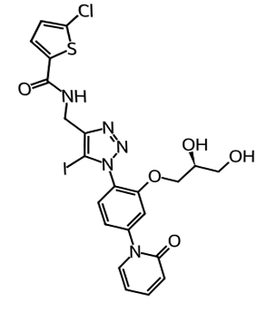 O=C(NCc1nnn(-c2ccc(-n3ccccc3=O)cc2OC[C@@H](O)CO)c1I)c1ccc(Cl)s1